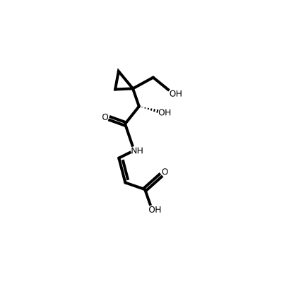 O=C(O)/C=C\NC(=O)[C@@H](O)C1(CO)CC1